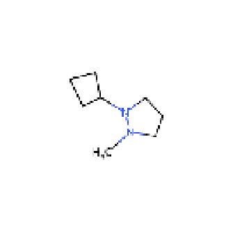 CN1CCCN1C1CCC1